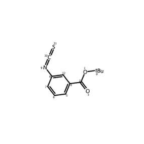 CC(C)(C)OC(=O)c1cccc(N=C=S)c1